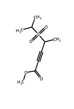 COC(=O)C#CC(C)S(=O)(=O)C(C)C